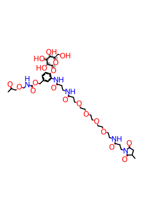 CC(=O)COCNC(=O)OCc1ccc(O[C@@H]2O[C@H](CO)[C@@H](O)[C@H](O)[C@H]2O)c(NC(=O)CCNC(=O)CCOCCOCCOCCOCCNC(=O)CCN2C(=O)CC(C)C2=O)c1